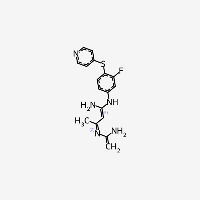 C=C(N)/N=C(C)\C=C(/N)Nc1ccc(Sc2ccncc2)c(F)c1